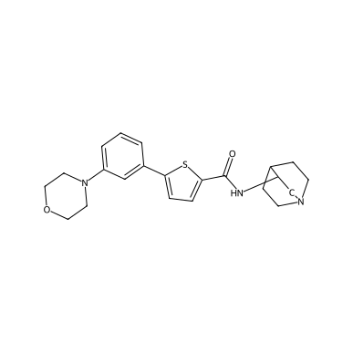 O=C(NC1CN2CCC1CC2)c1ccc(-c2cccc(N3CCOCC3)c2)s1